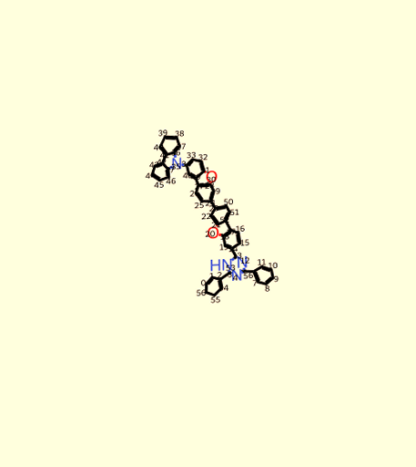 C1=CC(C2N=C(c3ccccc3)N=C(c3ccc4c(c3)oc3cc(-c5ccc6c(c5)oc5ccc(-n7c8ccccc8c8ccccc87)cc56)ccc34)N2)=CCC1